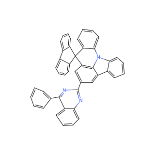 c1ccc(-c2nc(-c3cc4c5c(c3)c3ccccc3n5-c3ccccc3C43c4ccccc4-c4ccccc43)nc3ccccc23)cc1